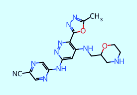 Cc1nnc(-c2nnc(Nc3cnc(C#N)cn3)cc2NCC2CNCCO2)o1